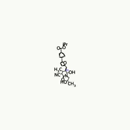 CC(O)CN1C(=O)C(C#N)C(C)/C(=C\c2ccc(-c3ccc(C(=O)OC(C)C)cc3)o2)C1O